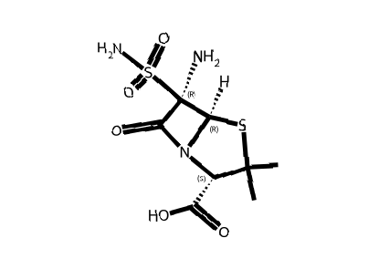 CC1(C)S[C@H]2N(C(=O)[C@@]2(N)S(N)(=O)=O)[C@H]1C(=O)O